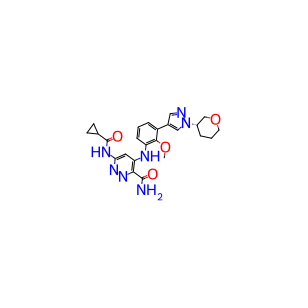 COc1c(Nc2cc(NC(=O)C3CC3)nnc2C(N)=O)cccc1-c1cnn([C@H]2CCCOC2)c1